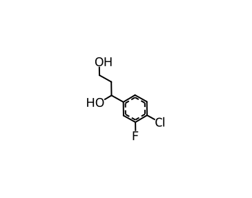 OCCC(O)c1ccc(Cl)c(F)c1